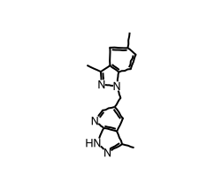 Cc1ccc2c(c1)c(C)nn2Cc1cnc2[nH]nc(C)c2c1